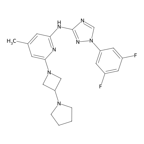 Cc1cc(Nc2ncn(-c3cc(F)cc(F)c3)n2)nc(N2CC(N3CCCC3)C2)c1